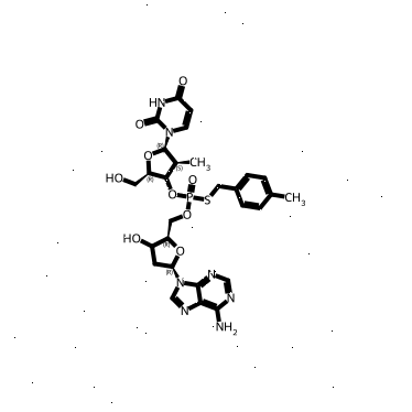 Cc1ccc(CSP(=O)(OC[C@H]2O[C@@H](n3cnc4c(N)ncnc43)CC2O)OC2[C@@H](CO)O[C@@H](n3ccc(=O)[nH]c3=O)[C@H]2C)cc1